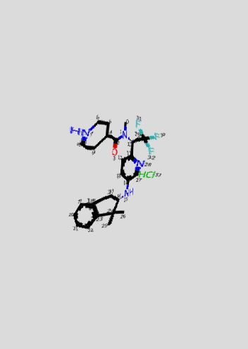 CN(C(=O)C1CCNCC1)[C@@H](c1ccc(N[C@H]2Cc3ccccc3C2(C)C)cn1)C(F)(F)F.Cl